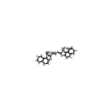 CCCCCN1/C(=C/C=C/c2sc3ccc4ccccc4c3[n+]2CCCCC)Sc2ccc3ccccc3c21